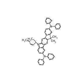 C=C/C=C\C(CC)n1c2ccc(N(c3ccccc3)c3ccccc3)cc2c2cc3c(cc21)-c1ccc(N(c2ccccc2)c2ccccc2)cc1C3(C)C